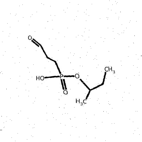 CCC(C)OP(=O)(O)CCC=O